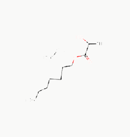 CC(=O)O.CCCCCCCCCCCCCCCCOC(=O)C(C)O